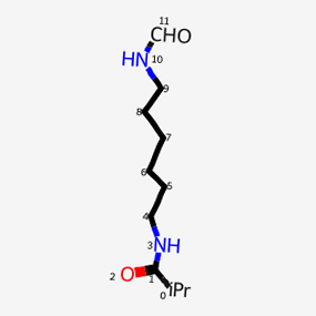 CC(C)C(=O)NCCCCCCNC=O